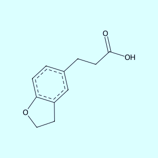 O=C(O)CCc1ccc2c(c1)CCO2